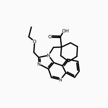 CCOCc1nc2cnc3ccccc3c2n1CC1(C(=O)O)CCCCC1